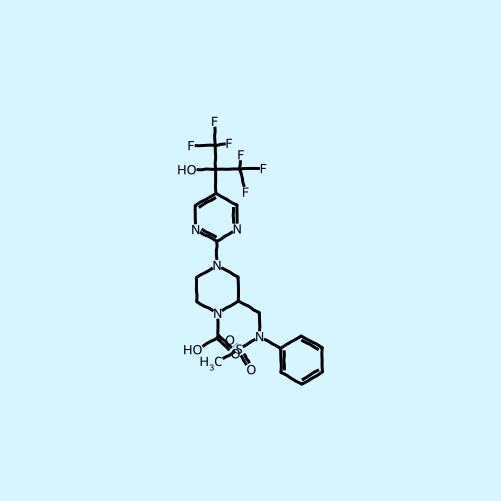 CS(=O)(=O)N(CC1CN(c2ncc(C(O)(C(F)(F)F)C(F)(F)F)cn2)CCN1C(=O)O)c1ccccc1